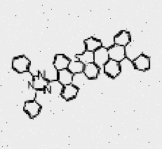 c1ccc(-c2nc(-c3ccccc3)nc(-c3c4ccccc4c(-c4cccc5c4sc4cccc(-c6c7ccccc7c(-c7ccccc7)c7ccccc67)c45)c4ccccc34)n2)cc1